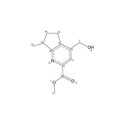 COC(=O)c1cc(CO)c2c(n1)C(C)CC2